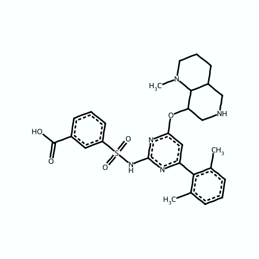 Cc1cccc(C)c1-c1cc(OC2CNCC3CCCN(C)C32)nc(NS(=O)(=O)c2cccc(C(=O)O)c2)n1